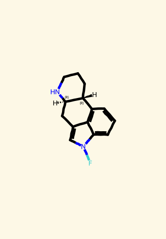 Fn1cc2c3c(cccc31)[C@H]1CCCN[C@@H]1C2